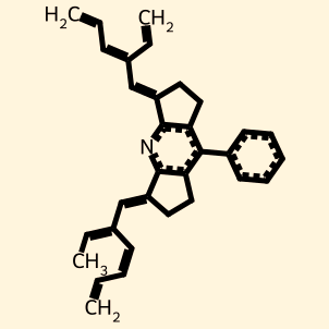 C=C\C=C/C(=C\C)/C=C1\CCc2c1nc1c(c2-c2ccccc2)CC/C1=C\C(C=C)=C\C=C